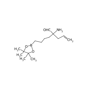 C=CCC(N)(C=O)CCCCB1OC(C)(C)C(C)(C)O1